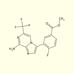 COC(=O)c1ccc(F)c(-c2cnc3c(N)nc(C(F)(F)F)cn23)c1